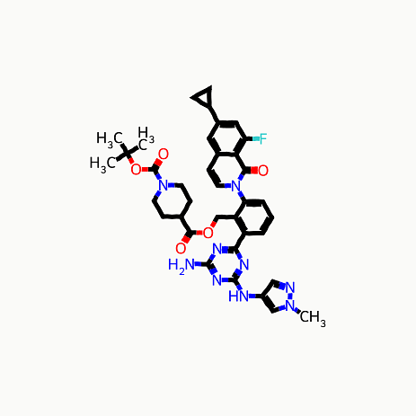 Cn1cc(Nc2nc(N)nc(-c3cccc(-n4ccc5cc(C6CC6)cc(F)c5c4=O)c3COC(=O)C3CCN(C(=O)OC(C)(C)C)CC3)n2)cn1